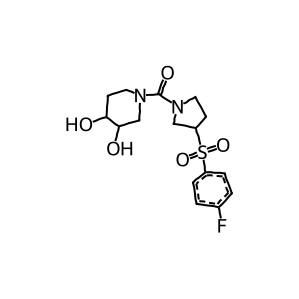 O=C(N1CCC(O)C(O)C1)N1CCC(S(=O)(=O)c2ccc(F)cc2)C1